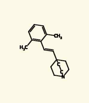 Cc1cccc(C)c1C=CC12CCN(CC1)CC2